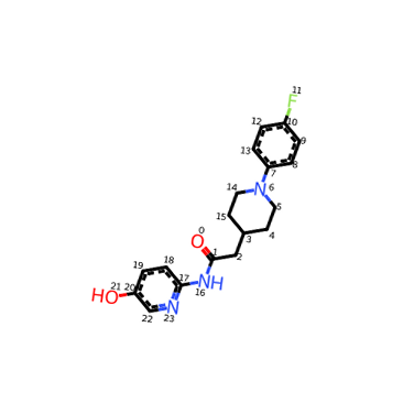 O=C(CC1CCN(c2ccc(F)cc2)CC1)Nc1ccc(O)cn1